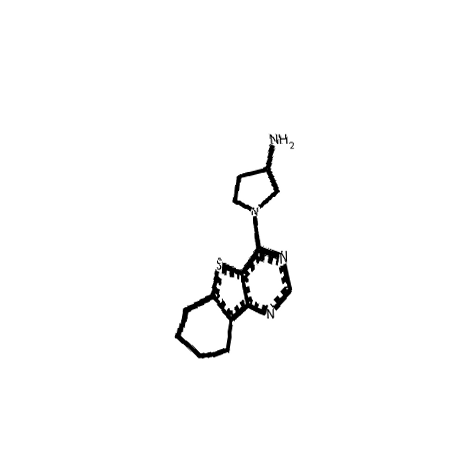 NC1CCN(c2ncnc3c4c(sc23)CCCC4)C1